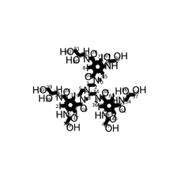 CN(CCN(CCN(C)C(=O)c1c(I)c(NC(=O)CO)c(I)c(C(=O)NCC(O)CO)c1I)CCN(C)C(=O)c1c(I)c(NC(=O)CO)c(I)c(C(=O)NCC(O)CO)c1I)C(=O)c1c(I)c(NC(=O)CO)c(I)c(C(=O)NCC(O)CO)c1I